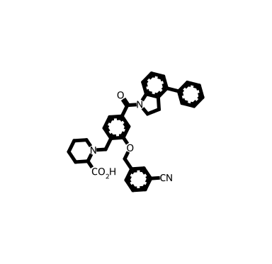 N#Cc1cccc(COc2cc(C(=O)N3CCc4c(-c5ccccc5)cccc43)ccc2CN2CCCCC2C(=O)O)c1